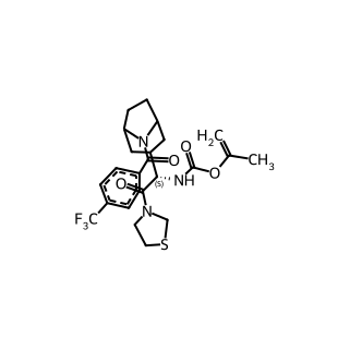 C=C(C)OC(=O)N[C@H](C(=O)N1CCSC1)C1CC2CCC(C1)N2C(=O)c1ccc(C(F)(F)F)cc1